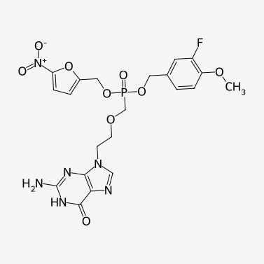 COc1ccc(COP(=O)(COCCn2cnc3c(=O)[nH]c(N)nc32)OCc2ccc([N+](=O)[O-])o2)cc1F